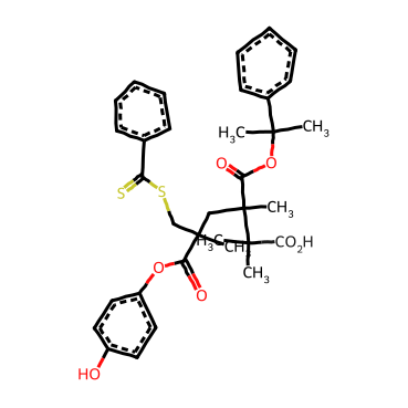 CC(CSC(=S)c1ccccc1)(CC(C)(C(=O)OC(C)(C)c1ccccc1)C(C)(C)C(=O)O)C(=O)Oc1ccc(O)cc1